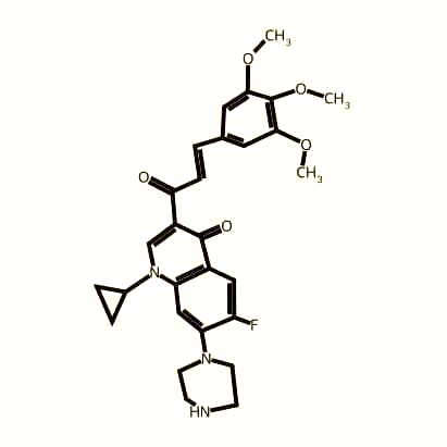 COc1cc(C=CC(=O)c2cn(C3CC3)c3cc(N4CCNCC4)c(F)cc3c2=O)cc(OC)c1OC